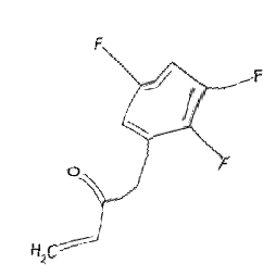 C=CC(=O)Cc1cc(F)cc(F)c1F